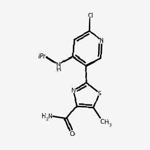 Cc1sc(-c2cnc(Cl)cc2NC(C)C)nc1C(N)=O